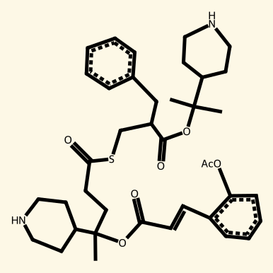 CC(=O)Oc1ccccc1/C=C/C(=O)OC(C)(CCC(=O)SCC(Cc1ccccc1)C(=O)OC(C)(C)C1CCNCC1)C1CCNCC1